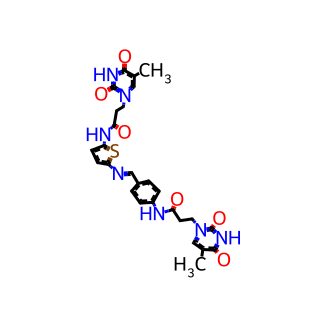 Cc1cn(CCC(=O)Nc2ccc(/C=N/c3ccc(NC(=O)CCn4cc(C)c(=O)[nH]c4=O)s3)cc2)c(=O)[nH]c1=O